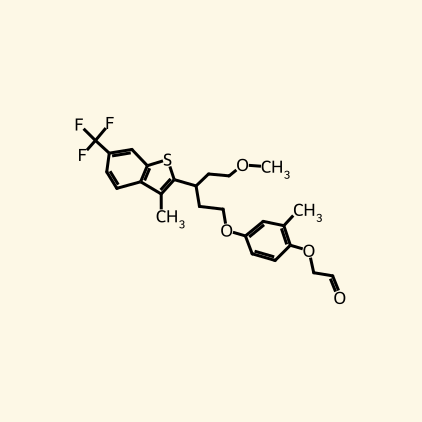 COCCC(CCOc1ccc(OCC=O)c(C)c1)c1sc2cc(C(F)(F)F)ccc2c1C